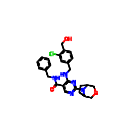 O=C(NCc1ccccc1)c1cnc(N2C3CCC2COC3)nc1NCc1ccc(CO)c(Cl)c1